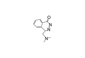 CN(C)CC1N=NC(=O)c2ccccc21